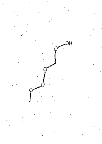 COOOCOO